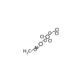 C=CCO/N=C/c1ccc(COc2c(Cl)cc(OCC=C(Cl)Cl)cc2Cl)cc1